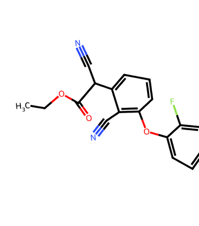 CCOC(=O)C(C#N)c1cccc(Oc2ccccc2F)c1C#N